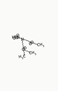 CCCCCCOC(=O)CCCCCCCN(CCCCCCCC(=O)OC(CCCCC)CCCCCC)CCCn1ccc(=O)[nH]c1=O